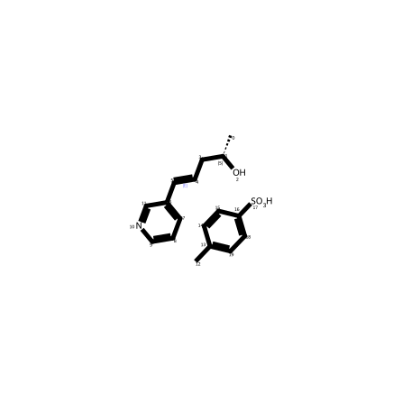 C[C@H](O)C/C=C/c1cccnc1.Cc1ccc(S(=O)(=O)O)cc1